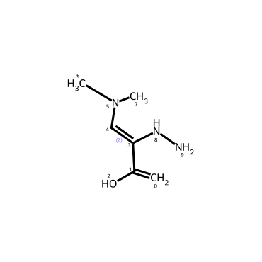 C=C(O)/C(=C/N(C)C)NN